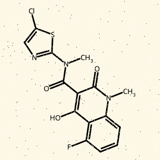 CN(C(=O)c1c(O)c2c(F)cccc2n(C)c1=O)c1ncc(Cl)s1